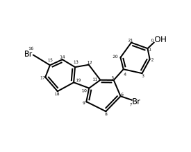 Oc1ccc(-c2c(Br)ccc3c2Cc2cc(Br)ccc2-3)cc1